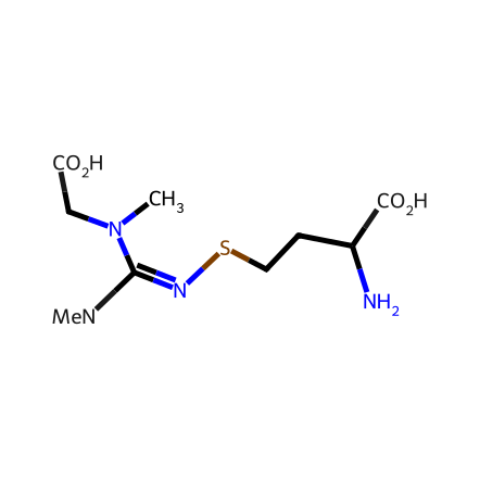 CNC(=NSCCC(N)C(=O)O)N(C)CC(=O)O